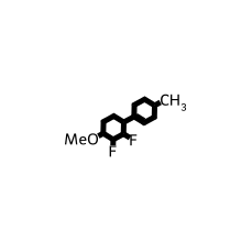 COC1CCC(C2=CCC(C)CC2)C(F)C1F